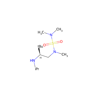 CC(C)N[C@H](CN(C)S(=O)(=O)N(C)C)C(C)(C)C